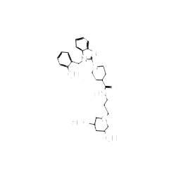 Cc1ccccc1Cn1c(N2CCC(C(=O)NCCCN3CC(C)CC(C)C3)CC2)nc2ccccc21